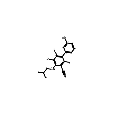 Cc1c(C#N)c(NCC(C)C)c(O)c(F)c1-c1cccc(O)c1